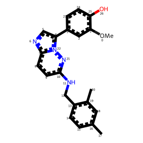 COc1cc(-c2cnc3ccc(NCc4ccc(C)cc4C)nn23)ccc1O